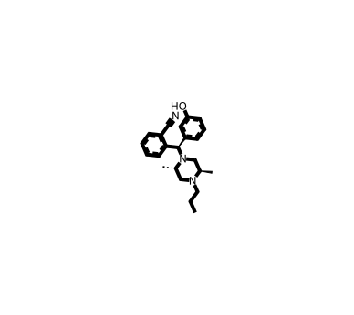 CCCN1C[C@H](C)N([C@H](c2cccc(O)c2)c2ccccc2C#N)C[C@H]1C